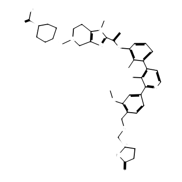 COc1cc(-c2nccc(-c3cccc(NC(=O)c4nc5c(n4C)CCN(C[C@H]4CC[C@H](C(=O)O)CC4)C5)c3Cl)c2Cl)ccc1CNC[C@H]1CCC(=O)N1